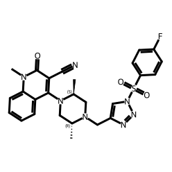 C[C@@H]1CN(c2c(C#N)c(=O)n(C)c3ccccc23)[C@@H](C)CN1Cc1cn(S(=O)(=O)c2ccc(F)cc2)nn1